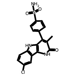 Cc1c(-c2ccc(S(N)(=O)=O)cc2)c2[nH]c3ccc(Cl)cc3c2[nH]c1=O